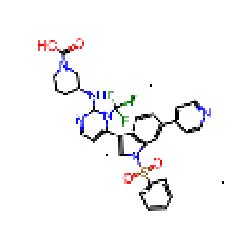 O=C(O)N1CCC[C@H](NC2N=CC=C(c3cn(S(=O)(=O)c4ccccc4)c4cc(-c5ccncc5)ccc34)N2C(F)(F)F)C1